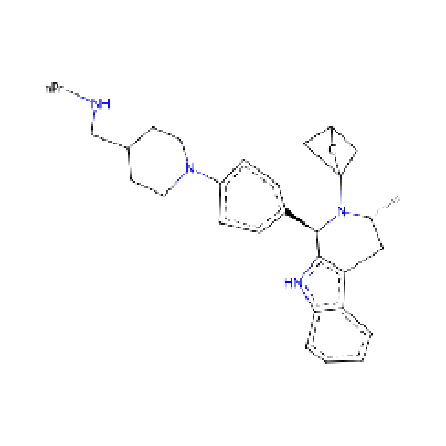 CCCNCC1CCN(c2ccc([C@@H]3c4[nH]c5ccccc5c4C[C@@H](C)N3C34CC(C3)C4)cc2)CC1